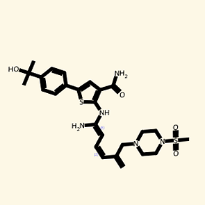 C=C(/C=C\C=C(/N)Nc1sc(-c2ccc(C(C)(C)O)cc2)cc1C(N)=O)CN1CCN(S(C)(=O)=O)CC1